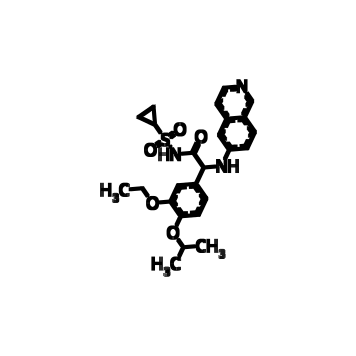 CCOc1cc(C(Nc2ccc3cnccc3c2)C(=O)NS(=O)(=O)C2CC2)ccc1OC(C)C